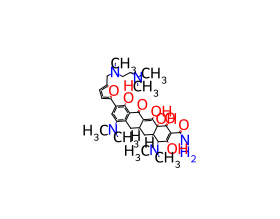 CN(C)CCN(C)Cc1ccc(-c2cc(N(C)C)c3c(c2O)C(=O)C2=C(O)[C@]4(O)C(=O)C(C(N)=O)=C(O)[C@H](N(C)C)[C@H]4C[C@H]2C3)o1